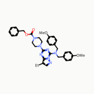 CCc1cnn2c(N(Cc3ccc(OC)cc3)Cc3ccc(OC)cc3)nc(N3CCN(C(=O)OCc4ccccc4)CC3)nc12